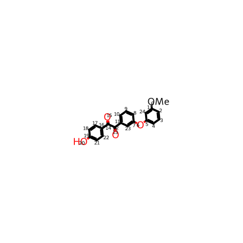 COc1cccc(Oc2cccc(C(=O)C(=O)c3ccc(O)cc3)c2)c1